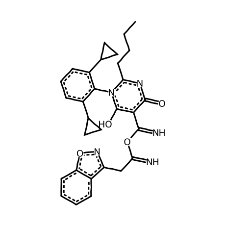 CCCCc1nc(=O)c(C(=N)OC(=N)Cc2noc3ccccc23)c(O)n1-c1c(C2CC2)cccc1C1CC1